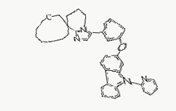 c1ccc(-n2c3ccccc3c3ccc(Oc4cccc(-c5cnc6n5CCCC65CCCCCCCCC5)c4)cc32)nc1